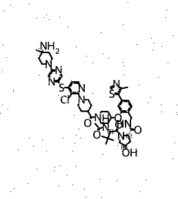 CC(=O)N[C@H](C(=O)N1C[C@H](O)C[C@H]1C(=O)NCc1ccc(-c2scnc2C)cc1OC1CCN(C(=O)C2CCN(c3nccc(Sc4cnc(N5CCC(C)(N)CC5)cn4)c3Cl)CC2)CC1)C(C)(C)C